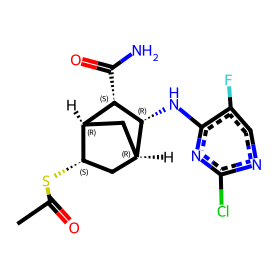 CC(=O)S[C@H]1C[C@H]2C[C@@H]1[C@H](C(N)=O)[C@@H]2Nc1nc(Cl)ncc1F